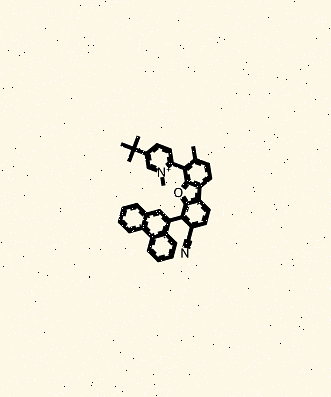 Cc1ccc2c(oc3c(-c4cc5ccccc5c5ccccc45)c(C#N)ccc32)c1-c1ccc(C(C)(C)C)c[n+]1C